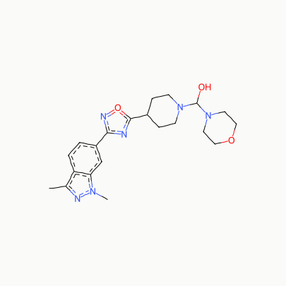 Cc1nn(C)c2cc(-c3noc(C4CCN(C(O)N5CCOCC5)CC4)n3)ccc12